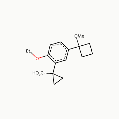 CCOc1ccc(C2(OC)CCC2)cc1C1(C(=O)O)CC1